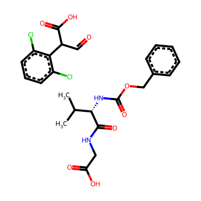 CC(C)[C@H](NC(=O)OCc1ccccc1)C(=O)NCC(=O)O.O=CC(C(=O)O)c1c(Cl)cccc1Cl